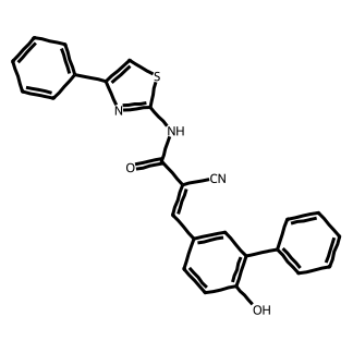 N#C/C(=C\c1ccc(O)c(-c2ccccc2)c1)C(=O)Nc1nc(-c2ccccc2)cs1